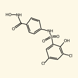 O=C(NO)c1ccc(NS(=O)(=O)c2cc(Cl)cc(Cl)c2O)cc1